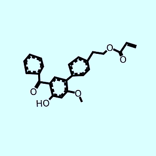 C=CC(=O)OCCc1ccc(-c2cc(C(=O)c3ccccc3)c(O)cc2OC)cc1